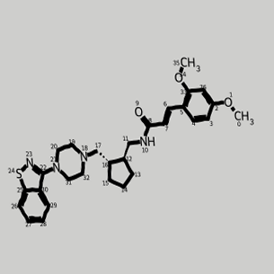 COc1ccc(/C=C/C(=O)NC[C@H]2CCC[C@@H]2CN2CCN(c3nsc4ccccc34)CC2)c(OC)c1